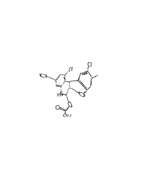 Cc1cc2c(cc1Cl)C1c3c(Cl)cc(Cl)cc3NC(OC(=O)O)C1O2